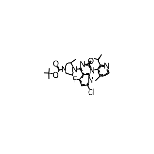 Cc1ccnc(C(C)C)c1-n1c(=O)nc(N2CCN(C(=O)OC(C)(C)C)CC2C)c2c(F)cc(Cl)nc21